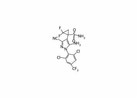 N#Cc1nn(-c2c(Cl)cc(C(F)(F)F)cc2Cl)c(N)c1C1(S(N)(=O)=O)CC1(F)F